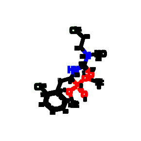 CCOP(=O)(OCC)C(Cc1ccccc1Cl)NC(=O)N(CCCl)N=O